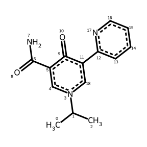 CC(C)n1cc(C(N)=O)c(=O)c(-c2ccccn2)c1